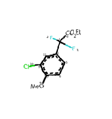 CCOC(=O)C(F)(F)c1ccc(OC)c(Cl)c1